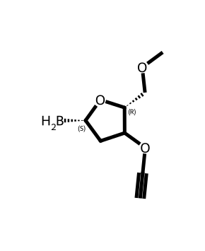 B[C@H]1CC(OC#C)[C@@H](COC)O1